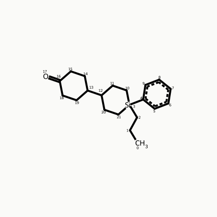 CCC[Si]1(c2ccccc2)CCC(C2CCC(=O)CC2)CC1